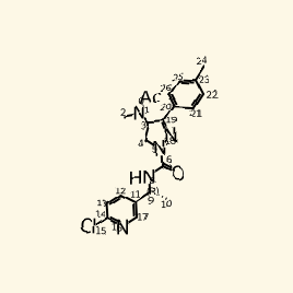 CC(=O)N(C)C1CN(C(=O)N[C@H](C)c2ccc(Cl)nc2)N=C1c1ccc(C)cc1